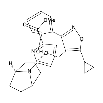 COC(=O)c1cccc(N2C3CC[C@H]2C[C@H](OCc2c(-c4ccccc4C)noc2C2CC2)C3)n1